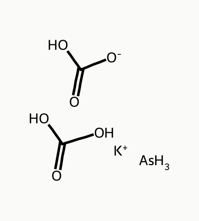 O=C(O)O.O=C([O-])O.[AsH3].[K+]